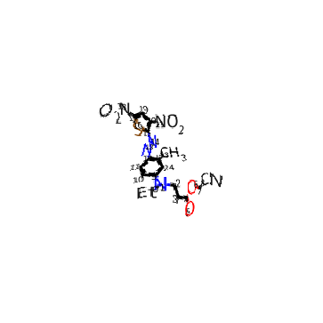 CCN(CCC(=O)OCC#N)c1ccc(N=Nc2sc([N+](=O)[O-])cc2[N+](=O)[O-])c(C)c1